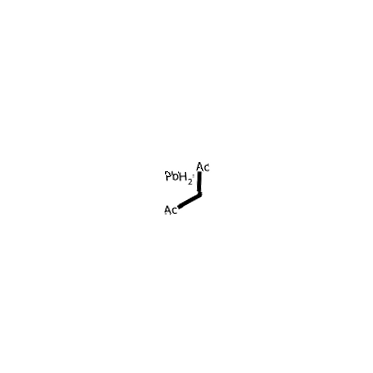 CC(=O)CC(C)=O.[PbH2]